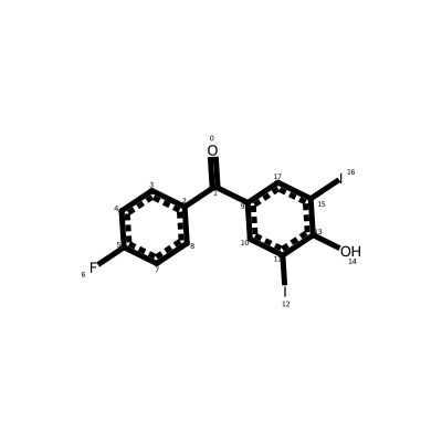 O=C(c1ccc(F)cc1)c1cc(I)c(O)c(I)c1